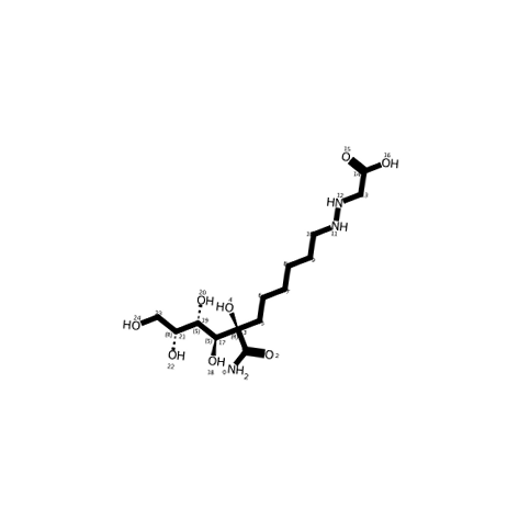 NC(=O)[C@@](O)(CCCCCCNNCC(=O)O)[C@@H](O)[C@@H](O)[C@H](O)CO